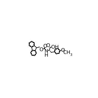 COc1ccc(C[C@@H](NC(=O)OCC2c3ccccc3-c3ccccc32)C(=O)O)cc1